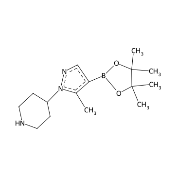 Cc1c(B2OC(C)(C)C(C)(C)O2)cnn1C1CCNCC1